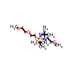 COCCOCCOP1(C(C)(C)C)=NC(C)(C)[N+]1(I)CCOC